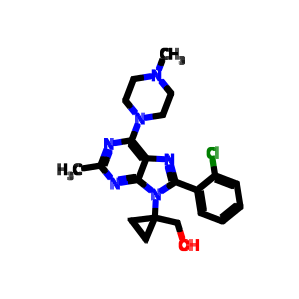 Cc1nc(N2CCN(C)CC2)c2nc(-c3ccccc3Cl)n(C3(CO)CC3)c2n1